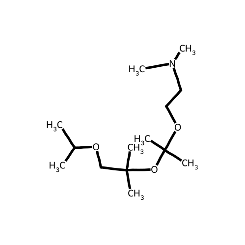 CC(C)OCC(C)(C)OC(C)(C)OCCN(C)C